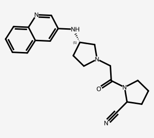 N#CC1CCCN1C(=O)CN1CC[C@H](Nc2cnc3ccccc3c2)C1